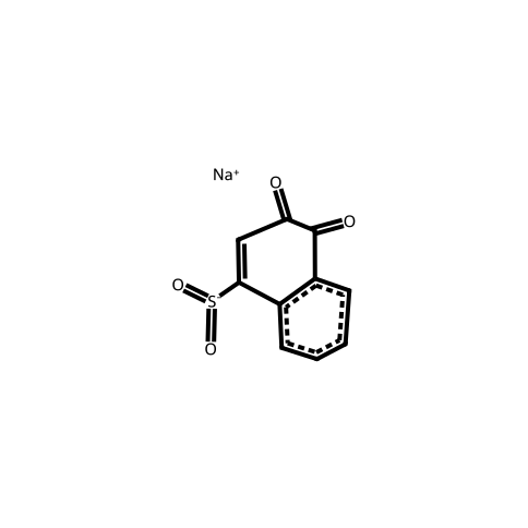 O=C1C=C([S-](=O)=O)c2ccccc2C1=O.[Na+]